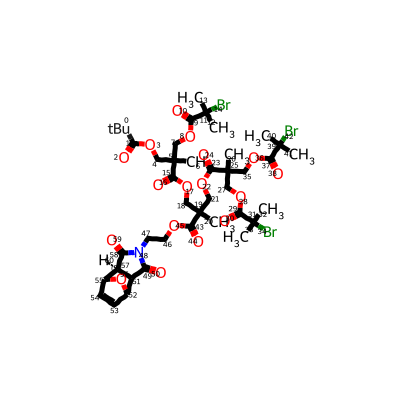 CC(C)(C)C(=O)OCC(C)(COC(=O)C(C)(C)Br)C(=O)OCC(C)(COC(=O)C(C)(COC(=O)C(C)(C)Br)COC(=O)C(C)(C)Br)C(=O)OCCN1C(=O)C2C3C=CC(O3)[C@H]2C1=O